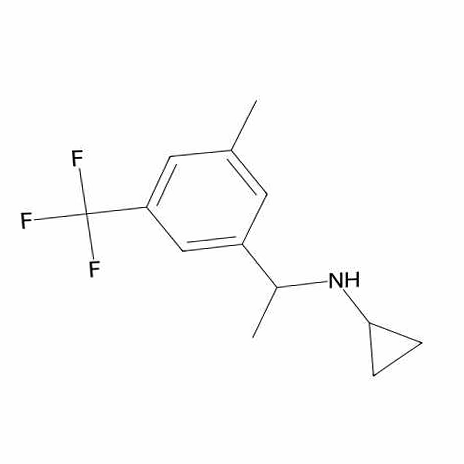 Cc1cc(C(C)NC2CC2)cc(C(F)(F)F)c1